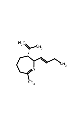 C=C(C)[C@H]1CCCC(C)=NC1C=CCC